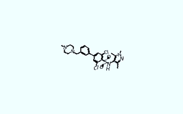 Cc1nn(C)c(C)c1NS(=O)(=O)c1c(Cl)cc(-c2cccc(CN3CCN(C)CC3)c2)cc1Cl